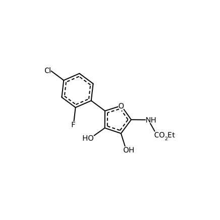 CCOC(=O)Nc1oc(-c2ccc(Cl)cc2F)c(O)c1O